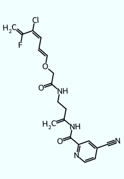 C=C(CCNC(=O)CO/C=C/C=C(/Cl)C(=C)F)NC(=O)c1cc(C#N)ccn1